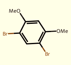 COc1cc(OC)c(Br)cc1Br